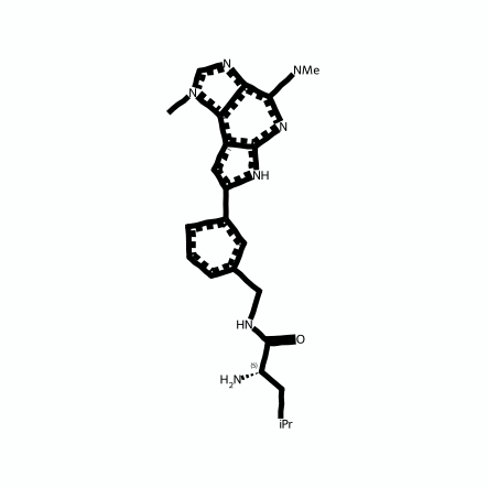 CNc1nc2[nH]c(-c3cccc(CNC(=O)[C@@H](N)CC(C)C)c3)cc2c2c1ncn2C